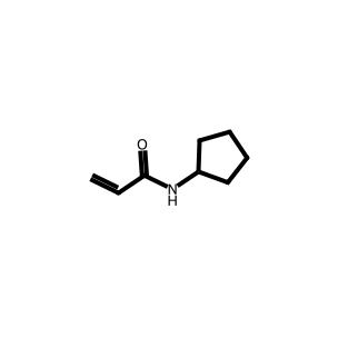 C=CC(=O)NC1CCCC1